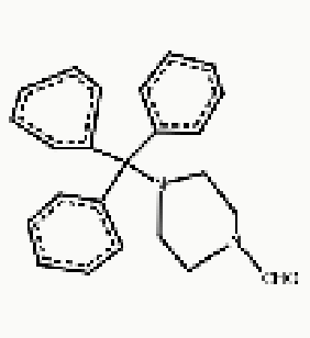 O=CN1CCN(C(c2ccccc2)(c2ccccc2)c2ccccc2)CC1